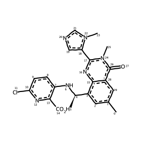 Cc1cc([C@@H](C)Nc2ccc(Cl)nc2C(=O)O)c2nc(-c3cncn3C)n(C)c(=O)c2c1